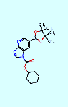 CC1(C)OB(c2cnc3ncn(C(=O)OC4CCCCC4)c3c2)OC1(C)C